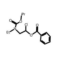 CCN(CC(Cl)OC(=O)c1ccccc1)C(=O)OC(C)C